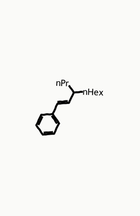 CCCCCCC(C=Cc1ccccc1)CCC